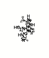 Cc1cc(NC(=O)[C@@H]2C[C@H](O)CN2c2nc(Nc3cc(C4CC4)[nH]n3)c3cccn3n2)sn1